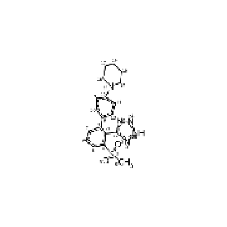 CS(=O)(=O)c1cccc(-c2ccc(N3CCCCC3)cc2)c1-c1nn[nH]n1